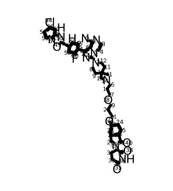 Nc1nccn2c(N3CCC4(CC3)CN(CCCOCCCOc3ccc5c(c3)CN(C3CCC(=O)NC3=O)C5=O)C4)nc(-c3ccc(C(=O)Nc4cc(Cl)ccn4)cc3F)c12